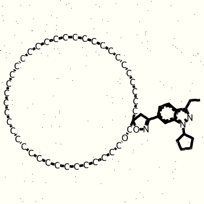 CCc1nn(C2CCCC2)c2cc(C3=NOC4(CCCCCCCCCCCCCCCCCCCCCCCCCCCCCCCCCCCCCCCOC4)C3)ccc12